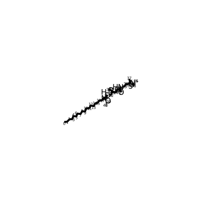 CCCCCCCCCCCCCCCCCCNC(=O)OCC(COC(=O)NCCc1sc[n+](C)c1C)OC.[I-]